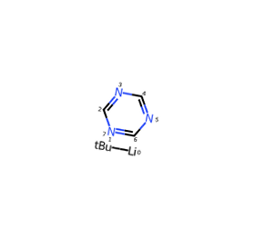 [Li][C](C)(C)C.c1ncncn1